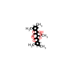 COC1Oc2c(c(=O)oc3c(C)cc(C)cc23)C1c1c(O)c2cc(C)cc(C)c2oc1=O